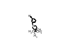 CC(C)(C)C1(C)CCN(Cc2cccc(C#N)c2)CC1